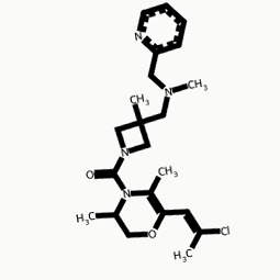 CC1=C(/C=C(\C)Cl)OCC(C)N1C(=O)N1CC(C)(CN(C)Cc2ccccn2)C1